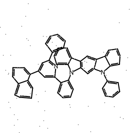 c1ccc(-c2cc(-c3cccc4ccccc34)cc(-c3ccccc3-n3c4ccccc4c4cc5c6ccccc6n(-c6ccccc6)c5cc43)n2)cc1